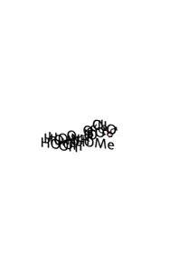 COCCN(CCCCCNC(=O)NCC(O)C(O)C(O)C(O)CO)S(=O)(=O)c1ccc(Cl)c(COC2(c3cnccc3-c3ccccc3OC3CC3)CC2)c1